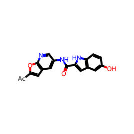 CC(=O)c1cc2cc(NC(=O)c3cc4cc(O)ccc4[nH]3)cnc2o1